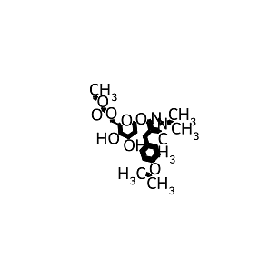 CCOC(=O)OC[C@H]1O[C@@H](Oc2nn(C(C)C)c(C)c2Cc2ccc(OC(C)C)cc2)C[C@@H](O)[C@@H]1O